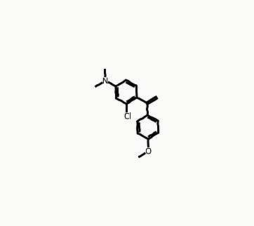 C=C(c1ccc(OC)cc1)c1ccc(N(C)C)cc1Cl